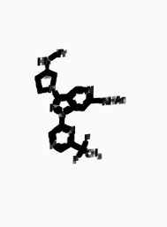 CC(=O)Nc1cc2c(cn1)c(N1CC[C@@H](NC(C)C)C1)nn2-c1cncc(C(C)(F)F)n1